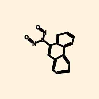 O=NB(N=O)c1cc2ccccc2c2ccccc12